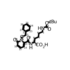 CC(C)(C)OC(=O)NCCCC[C@H](NC(=O)c1cccc(=O)n1OCc1ccccc1)C(=O)O